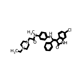 CCN1CCN(CC(=O)N(C)c2ccc(NC(=C3C(=O)Nc4cc(Cl)ccc43)c3ccccc3)cc2)CC1